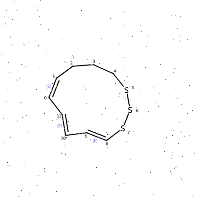 C1=C\CCCSSS/C=C/C=C/1